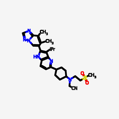 Cc1c(-c2[nH]c3ccc(C4CCC(N(CC#N)CCS(C)(=O)=O)CC4)nc3c2C(C)C)cn2ncnc2c1C